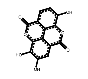 O=c1oc2c(O)c(O)cc3c(=O)oc4c(O)ccc1c4c23